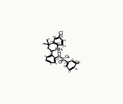 CC1(C)CC(c2ccccc2NS(=O)(=O)c2cccc(F)c2)Nc2ccc(Cl)cc21